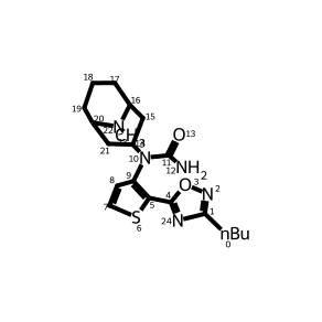 CCCCc1noc(-c2sccc2N(C(N)=O)C2CC3CCCC(C2)N3C)n1